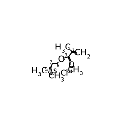 C=C(C)C(=O)OCC[As](C)C.CCl